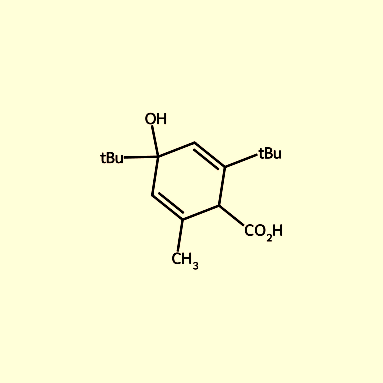 CC1=CC(O)(C(C)(C)C)C=C(C(C)(C)C)C1C(=O)O